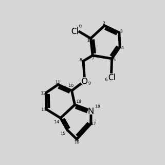 Clc1cccc(Cl)c1COc1cccc2cccnc12